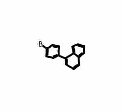 [B]c1ccc(-c2cccc3ccccc23)cc1